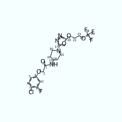 O=C(COc1ccc(Cl)c(F)c1)NC1CCN(c2nnc(OCCOC(F)(F)F)o2)CC1